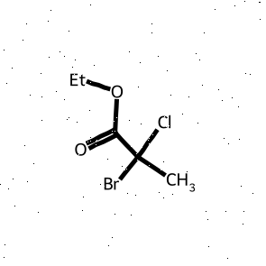 CCOC(=O)C(C)(Cl)Br